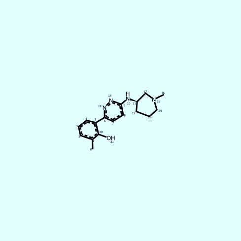 Cc1cccc(-c2ccc(N[C@@H]3CCCN(C)C3)nn2)c1O